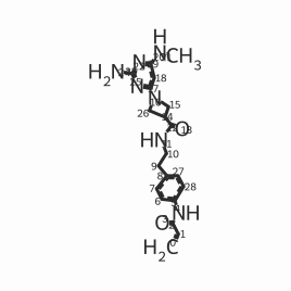 C=CC(=O)Nc1ccc(CCNC(=O)C2CN(c3cc(NC)nc(N)n3)C2)cc1